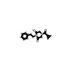 O=C(C1CC1)N1CC(=O)N(CCc2ccccc2)C(=O)C1